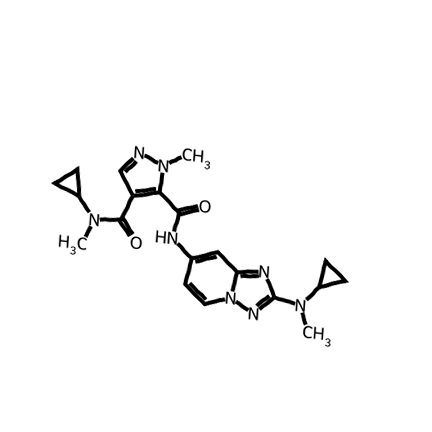 CN(C(=O)c1cnn(C)c1C(=O)Nc1ccn2nc(N(C)C3CC3)nc2c1)C1CC1